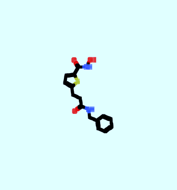 O=C(CCc1ccc(C(=O)NO)s1)NCc1ccccc1